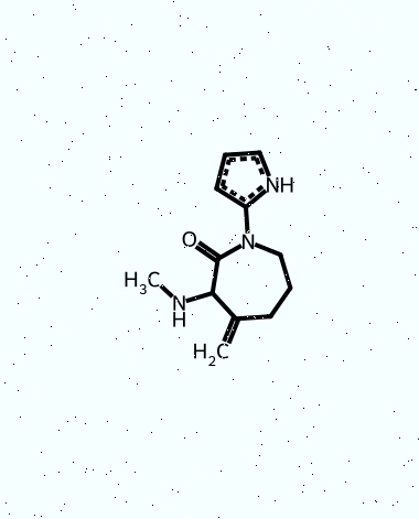 C=C1CCCN(c2ccc[nH]2)C(=O)C1NC